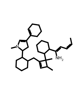 C/C=C\C=C(/N)C1CCCCC1C1(C)C(CC2CCCCC2C2CC(C3=CCCCC3)=CN2C)=CC1C